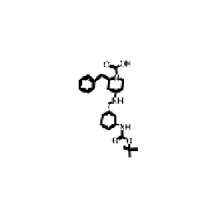 CC(C)(C)OC(=O)N[C@@H]1CCC[C@H](CNC2CCN(C(=O)O)C(Cc3ccccc3)C2)C1